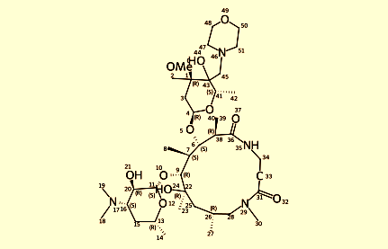 CO[C@]1(C)C[C@H](O[C@H]2[C@H](C)[C@@H](O[C@@H]3O[C@H](C)C[C@H](N(C)C)[C@H]3O)[C@](C)(O)C[C@@H](C)CN(C)C(=O)CCNC(=O)[C@@H]2C)O[C@@H](C)C1(O)CN1CCOCC1